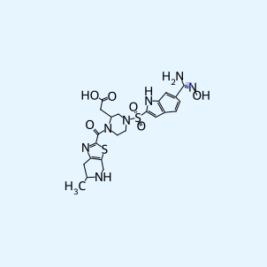 CC1Cc2nc(C(=O)N3CCN(S(=O)(=O)c4cc5ccc(/C(N)=N\O)cc5[nH]4)CC3CC(=O)O)sc2CN1